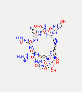 C[C@@H](O)[C@@H]1NC(=O)[C@@H]2CCCn3cc(nn3)C[C@@H](C(=O)N[C@@H](Cc3ccc(O)cc3)C(N)=O)NC(=O)[C@H](CCC(N)=O)NC(=O)[C@H](Cc3ccc(O)c(I)c3)NC(=O)[C@H](CCCNC(N)=O)NC(=O)[C@H](CSSCC(NC(=O)CN)C(=O)N2)NC(=O)[C@H](CCCNC(=N)N)NC(=O)[C@@H]2CCCN2C(=O)[C@H](CC(=O)O)NC1=O